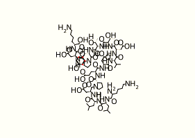 CC(C)C[C@H](NC(=O)[C@H](CC(C)C)NC(=O)[C@@H](N)CCCCN)C(=O)N[C@@H](CC(=O)O)C(=O)N1CCC[C@H]1C(=O)N[C@@H](CCC(=O)O)C(=O)N[C@@H](CC(=O)O)C(=O)N[C@H](C(=O)N[C@@H](CC(=O)O)C(=O)N[C@H](C(=O)N[C@H](C(=O)N[C@@H](Cc1ccc(O)cc1)C(=O)N1CCC[C@H]1C(=O)N[C@@H](CC(=O)O)C(=O)N[C@@H](CCCCN)C(=O)O)[C@@H](C)O)[C@@H](C)O)C(C)C